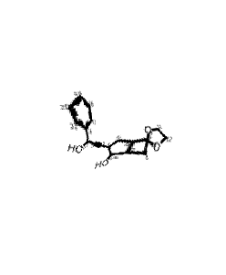 OC(C#CC1CC2C(CC23OCCO3)C1O)c1ccccc1